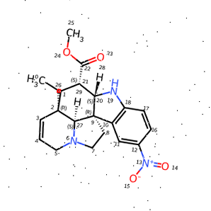 CC[C@]12C=CCN3CC[C@]4(c5cc([N+](=O)[O-])ccc5N[C@H]4[C@@H](C(=O)OC)C1)[C@@H]32